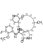 COc1c(F)cccc1Nc1c2[nH]c3c1C(=O)NCC3CCC(C)CCCOc1cnccc1-2